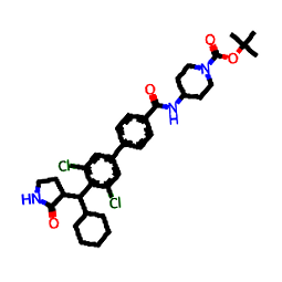 CC(C)(C)OC(=O)N1CCC(NC(=O)c2ccc(-c3cc(Cl)c(C(C4CCCCC4)C4CCNC4=O)c(Cl)c3)cc2)CC1